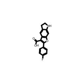 O=C(O)c1c(-c2ccc(F)cc2)oc2cc3c(cc12)CCN3